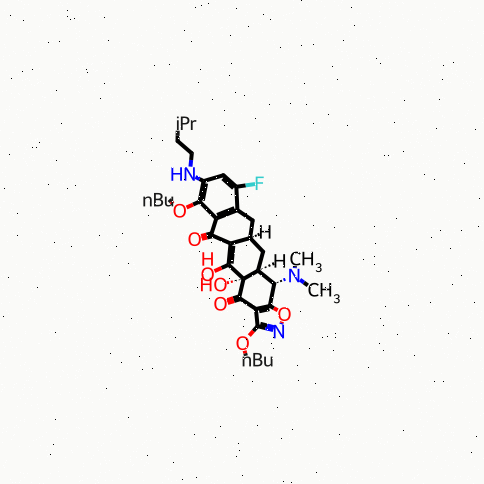 CCCCOc1noc2c1C(=O)[C@@]1(O)C(O)=C3C(=O)c4c(c(F)cc(NCCC(C)C)c4OCCCC)C[C@H]3C[C@H]1[C@@H]2N(C)C